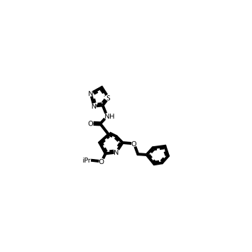 CC(C)Oc1cc(C(=O)Nc2nncs2)cc(OCc2ccccc2)n1